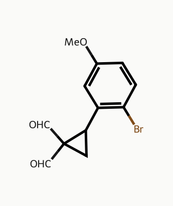 COc1ccc(Br)c(C2CC2(C=O)C=O)c1